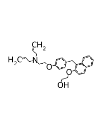 C=CCN(CC=C)CCOc1ccc(Cc2c(OCCO)ccc3ccccc23)cc1